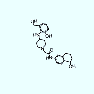 O=C(CN1CCC(Nc2c(O)cccc2CO)CC1)Nc1ccc2c(c1)CCCC2O